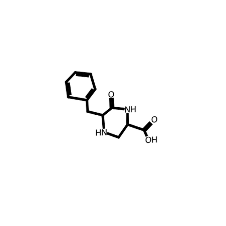 O=C(O)C1CNC(Cc2ccccc2)C(=O)N1